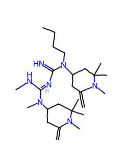 C=C1CC(N(CCCC)C(=N)/N=C(\NC)N(C)C2CC(=C)N(C)C(C)(C)C2)CC(C)(C)N1C